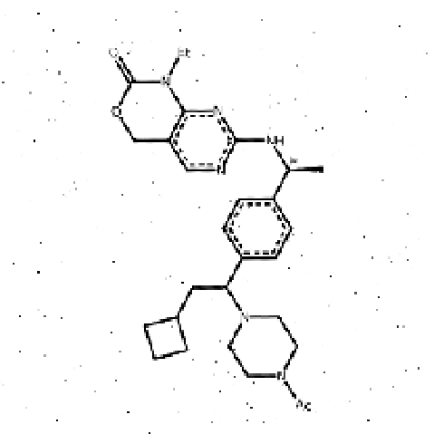 CCN1C(=O)OCc2cnc(N[C@@H](C)c3ccc(C(CC4CCC4)N4CCN(C(C)=O)CC4)cc3)nc21